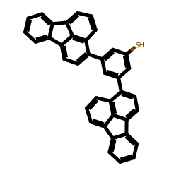 Sc1cc(-c2ccc3c4c(cccc24)-c2ccccc2-3)cc(-c2ccc3c4c(cccc24)-c2ccccc2-3)c1